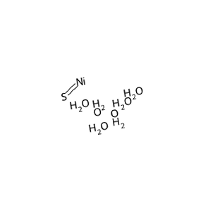 O.O.O.O.O.O.[S]=[Ni]